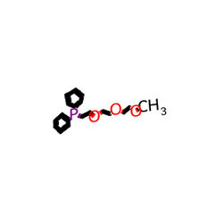 COCCOCCOCCP(c1ccccc1)c1ccccc1